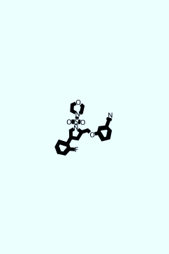 N#Cc1cccc(OCC2CC(c3ccccc3F)CN2S(=O)(=O)N2CCOCC2)c1